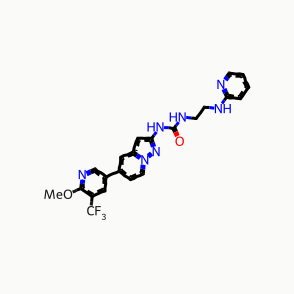 COc1ncc(-c2ccn3nc(NC(=O)NCCNc4ccccn4)cc3c2)cc1C(F)(F)F